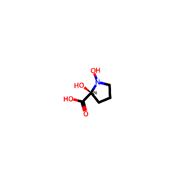 O=C(O)[C@@]1(O)CCCN1O